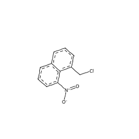 O=[N+]([O-])c1cccc2cccc(CCl)c12